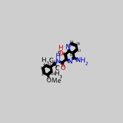 COc1cccc(C(C)(C)NC(=O)c2nc(N)c3cccnc3c2O)c1